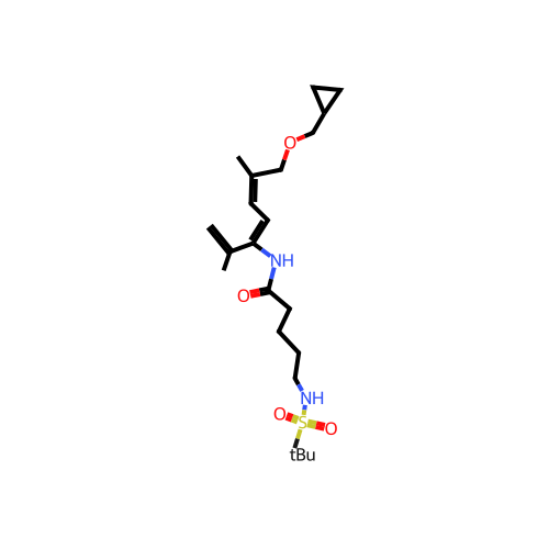 C=C(C)/C(=C\C=C(\C)COCC1CC1)NC(=O)CCCCNS(=O)(=O)C(C)(C)C